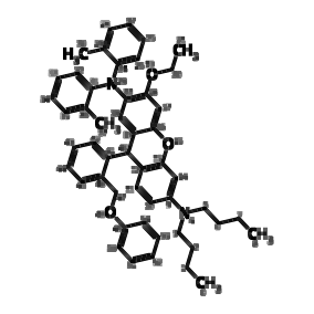 CCCCN(CCCC)c1ccc2c(c1)Oc1cc(OCC)c(N(c3ccccc3C)c3ccccc3C)cc1C2c1ccccc1COc1ccccc1